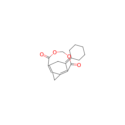 O=C1OCOC(=O)C2=C3CC3=C1CC2=C1CCCCC1